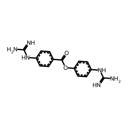 N=C(N)Nc1ccc(OC(=O)c2ccc(NC(=N)N)cc2)cc1